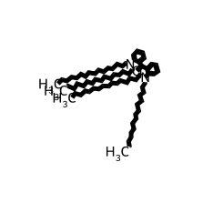 CCCCCCCCCCCCCCCCN(CCCCCCCCCCCCCCCC)c1ccccc1C(=O)c1ccccc1N(CCCCCCCCCCCCCCCC)CCCCCCCCCCCCCCCC